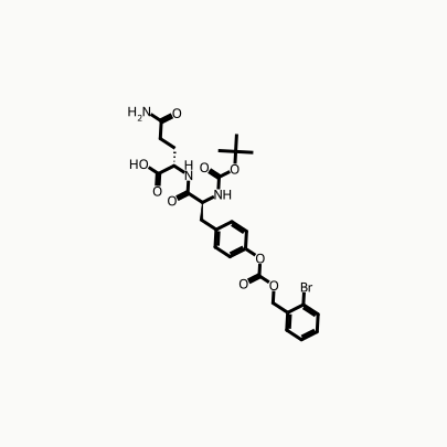 CC(C)(C)OC(=O)N[C@@H](Cc1ccc(OC(=O)OCc2ccccc2Br)cc1)C(=O)N[C@@H](CCC(N)=O)C(=O)O